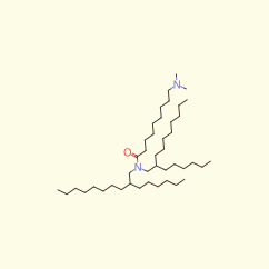 CCCCCCCCC(CCCCCC)CN(CC(CCCCCC)CCCCCCCC)C(=O)CCCCCCCCN(C)C